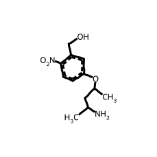 CC(N)CC(C)Oc1ccc([N+](=O)[O-])c(CO)c1